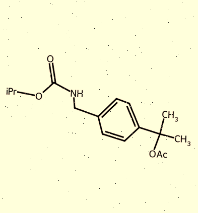 CC(=O)OC(C)(C)c1ccc(CNC(=O)OC(C)C)cc1